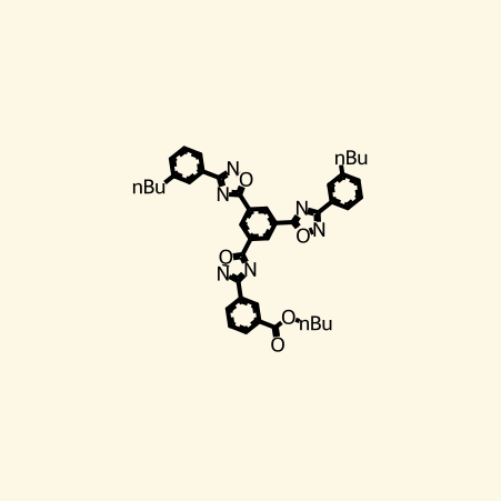 CCCCOC(=O)c1cccc(-c2noc(-c3cc(-c4nc(-c5cccc(CCCC)c5)no4)cc(-c4nc(-c5cccc(CCCC)c5)no4)c3)n2)c1